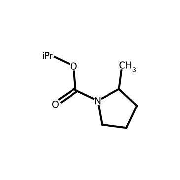 CC(C)OC(=O)N1CCCC1C